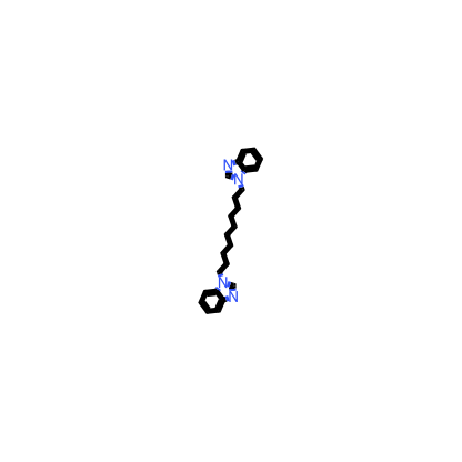 c1ccc2c(c1)ncn2CCCCCCCCCCn1cnc2ccccc21